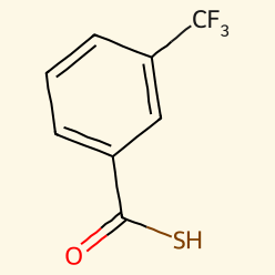 O=C(S)c1cccc(C(F)(F)F)c1